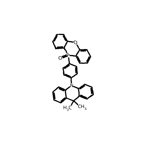 CC1(C)c2ccccc2N(c2ccc(P3(=O)c4ccccc4Oc4ccccc43)cc2)c2ccccc21